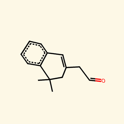 CC1(C)CC(CC=O)=Cc2ccccc21